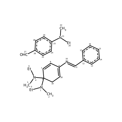 CCN(C)C1(N(C)CC)C=CC(N=Cc2ccccc2)=CC1.CCN(C)c1ccc(C=O)cc1